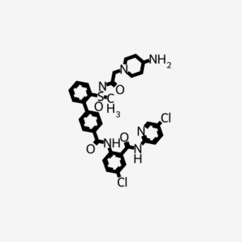 CS(=O)(=NC(=O)CN1CCC(N)CC1)c1ccccc1-c1ccc(C(=O)Nc2ccc(Cl)cc2C(=O)Nc2ccc(Cl)cn2)cc1